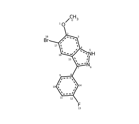 COc1cc2[nH]nc(-c3cccc(F)c3)c2cc1Br